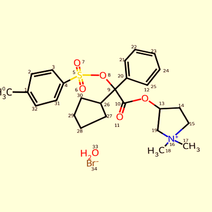 Cc1ccc(S(=O)(=O)OC(C(=O)OC2CC[N+](C)(C)C2)(c2ccccc2)C2CCCC2)cc1.O.[Br-]